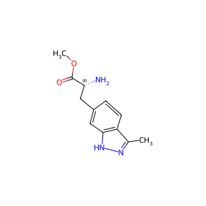 COC(=O)[C@H](N)Cc1ccc2c(C)n[nH]c2c1